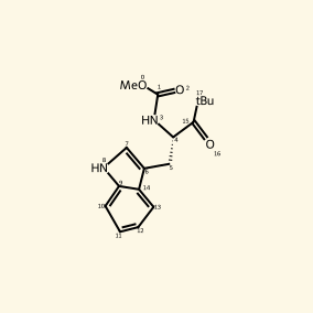 COC(=O)N[C@@H](Cc1c[nH]c2ccccc12)C(=O)C(C)(C)C